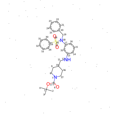 CC(C)(C)OC(=O)N1CCC(CNc2cccc(N(Cc3ccccc3)S(=O)(=O)c3ccccc3)c2)CC1